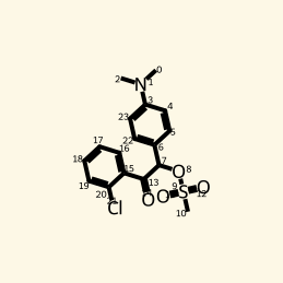 CN(C)c1ccc(C(OS(C)(=O)=O)C(=O)c2ccccc2Cl)cc1